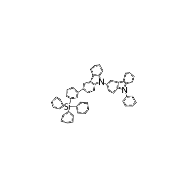 c1ccc(-n2c3ccccc3c3cc(-n4c5ccccc5c5cc(-c6cccc([Si](c7ccccc7)(c7ccccc7)c7ccccc7)c6)ccc54)ccc32)cc1